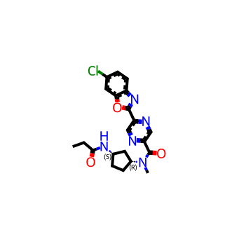 CCC(=O)N[C@H]1CC[C@@H](N(C)C(=O)c2cnc(-c3nc4ccc(Cl)cc4o3)cn2)C1